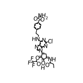 CCC(=O)N[C@H]1C[C@@H](n2cnc3c(NCCc4ccc(S(N)(=O)=O)cc4)nc(Cl)nc32)[C@H](OC(=O)C(F)(F)F)[C@@H]1O